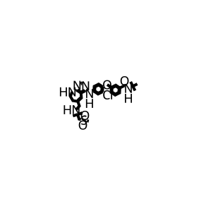 CC(C)(C)NC(=O)c1cccc(Oc2ccc(Nc3ncnc4c3C=C(CNC(C)(C)CS(C)(=O)=O)CCN4)cc2Cl)c1